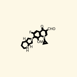 COc1c(N2C[C@@H]3CCCN[C@@H]3C2)c(F)cc2c(=O)c(C=O)cn(C3CC3)c12